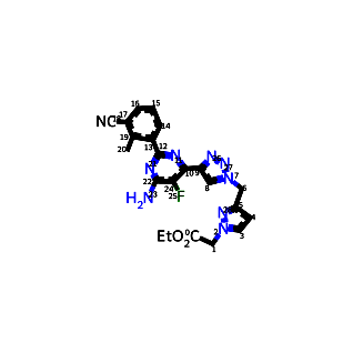 CCOC(=O)Cn1ccc(Cn2cc(-c3nc(-c4cccc(C#N)c4C)nc(N)c3F)nn2)n1